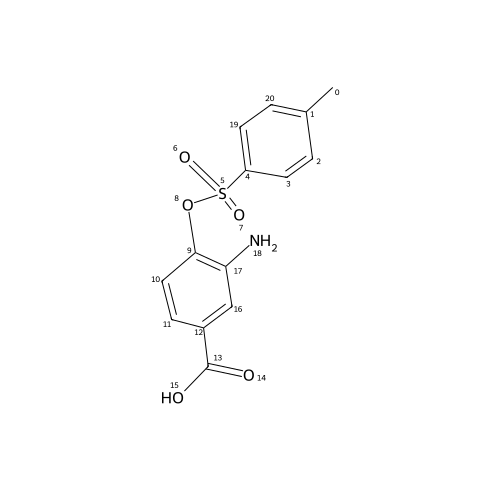 Cc1ccc(S(=O)(=O)Oc2ccc(C(=O)O)cc2N)cc1